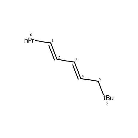 CCCC=CC=CCC(C)(C)C